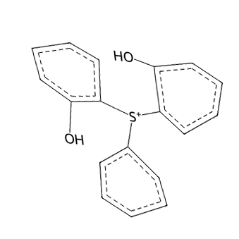 Oc1ccccc1[S+](c1ccccc1)c1ccccc1O